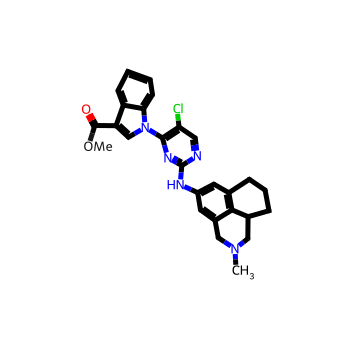 COC(=O)c1cn(-c2nc(Nc3cc4c5c(c3)CN(C)CC5CCC4)ncc2Cl)c2ccccc12